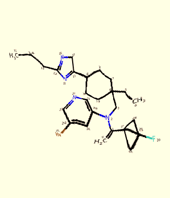 C=C(N(CC1(CC)CCC(C2=NC(CCC)=NC2)CC1)c1cncc(Br)c1)C12CC1(F)C2